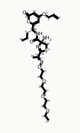 C=CCOc1cc([C@@H](CCC)NC(=O)[C@]2(N)CSC(/C(C)=N/OCCOCCOCCOCC)=N2)oc(=O)c1